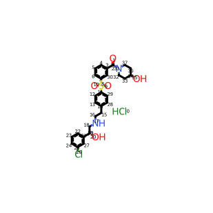 Cl.O=C(c1cccc(S(=O)(=O)c2ccc(CCNC[C@H](O)c3cccc(Cl)c3)cc2)c1)N1CCC(O)CC1